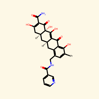 CC(C)c1cc(CNC(=O)c2cccnc2)c2c(c1O)C(=O)C1=C(O)[C@]3(O)C(=O)C(C(N)=O)=C(O)C[C@@H]3C[C@@H]1C2